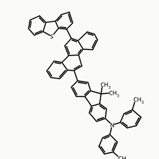 Cc1cccc(N(c2cccc(C)c2)c2ccc3c(c2)C(C)(C)c2cc(-c4cc5c6ccccc6c(-c6cccc7c6sc6ccccc67)cc5c5ccccc45)ccc2-3)c1